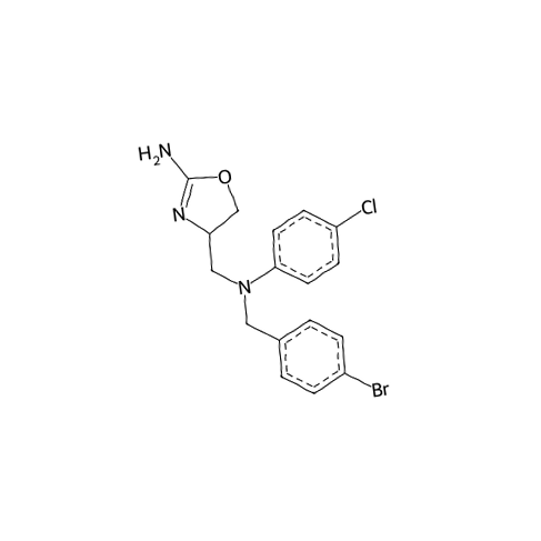 NC1=NC(CN(Cc2ccc(Br)cc2)c2ccc(Cl)cc2)CO1